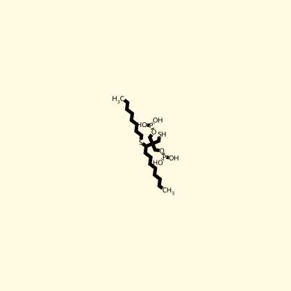 CCCCCCCCSC(CCCCCCCC)C(CS)(COP(O)O)COP(O)O